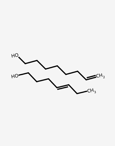 C=CCCCCCCO.CCC=CCCCO